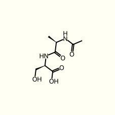 CC(=O)N[C@H](C)C(=O)N[C@H](CO)C(=O)O